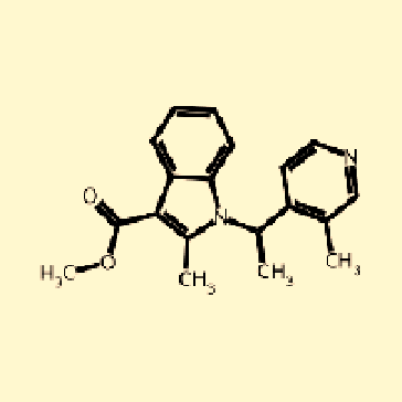 COC(=O)c1c(C)n(C(C)c2ccncc2C)c2ccccc12